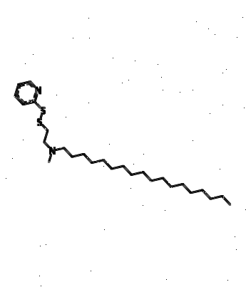 CCCCCCCCCCCCCCCCCCN(C)CCSSc1ccccn1